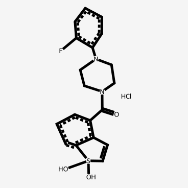 Cl.O=C(c1cccc2c1C=CS2(O)O)N1CCN(c2ccccc2F)CC1